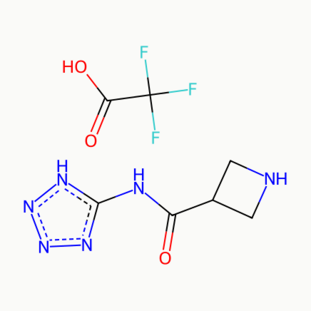 O=C(Nc1nnn[nH]1)C1CNC1.O=C(O)C(F)(F)F